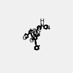 Cc1ccccc1C#Cc1cc2cnc(Nc3ccc(NC4CCN(C)CC4)cc3)nc2n(Cc2ncccc2C2CCOCC2)c1=O